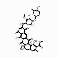 COC(=O)c1c(C)cc2c(c1O)[C@]1(O)C(=O)c3cc4c(c(O)c3C(=O)[C@]1(OC)[C@H](O)C2)C(=O)C=C(NC1O[C@@H](C)[C@H](OC2CC[C@H](O)C(C)O2)[C@@H](O)[C@H]1OC)C4=O